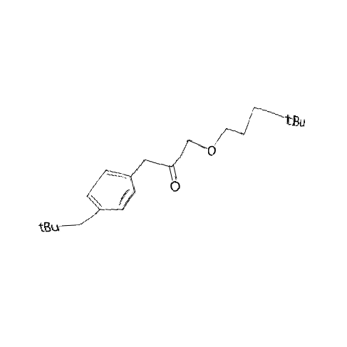 CC(C)(C)CCCOCC(=O)Cc1ccc(CC(C)(C)C)cc1